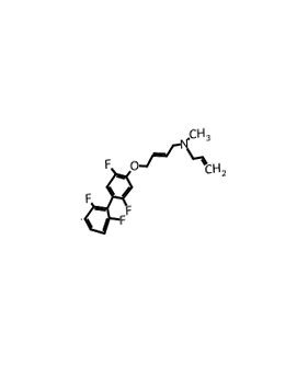 C=CCN(C)C/C=C/COc1cc(F)c(-c2c(F)[c]ccc2F)cc1F